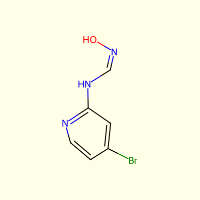 O/N=C\Nc1cc(Br)ccn1